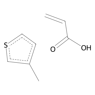 C=CC(=O)O.Cc1ccsc1